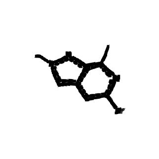 Cc1nc(Br)cc2cn(C)nc12